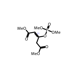 COC(=O)/C=C(\CC(=O)OC)OP(=O)(OC)OC